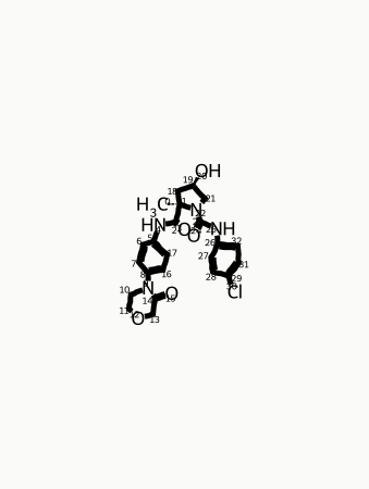 C[C@]1(C(=O)Nc2ccc(N3CCOCC3=O)cc2)C[C@@H](O)CN1C(=O)Nc1ccc(Cl)cc1